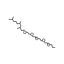 CCCOCCOCCOCCOCCOCCC(C)CC(C)CCCC(C)C